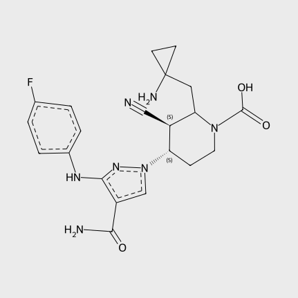 N#C[C@H]1C(CC2(N)CC2)N(C(=O)O)CC[C@@H]1n1cc(C(N)=O)c(Nc2ccc(F)cc2)n1